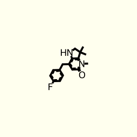 Cn1c2c(c(Cc3ccc(F)cc3)cc1=O)NCC2(C)C